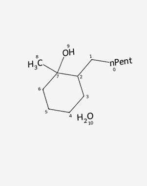 CCCCCCC1CCCCC1(C)O.O